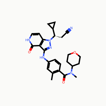 Cc1cc(Nc2nn([C@@H](CC#N)C3CC3)c3cc[nH]c(=O)c23)ccc1C(=O)N(C)C1CCOCC1